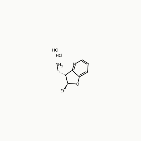 CC[C@@H]1Oc2cccnc2[C@H]1CN.Cl.Cl